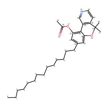 CCCCCCCCCCCCCCc1cc(OC(C)=O)c2c(c1)OC(C)(C)c1ccncc1-2